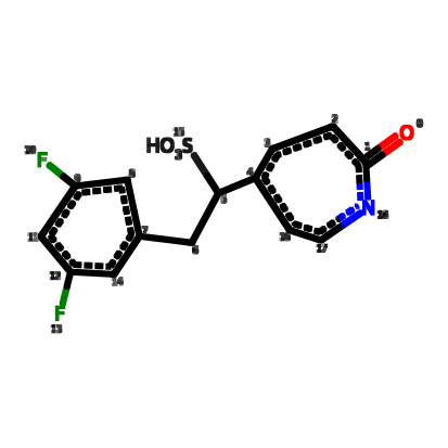 O=c1ccc(C(Cc2cc(F)cc(F)c2)S(=O)(=O)O)ccn1